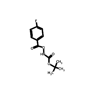 CC(C)(C)OC(=O)NOC(=O)c1ccc(F)cc1